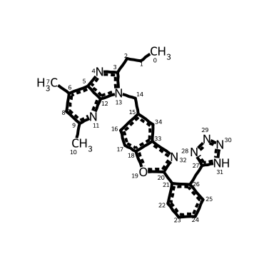 CCCc1nc2c(C)cc(C)nc2n1Cc1ccc2oc(-c3ccccc3-c3nnn[nH]3)nc2c1